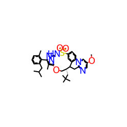 COc1cnc(CC2c3cccc(c3)S(=O)(=O)Nc3nc(c(C)c(-c4c(C)cccc4CC(C)C)n3)OC[C@H]2CC(C)(C)C)nc1